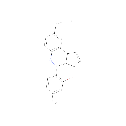 COc1ccc(C2Nc3ccc(CC=O)cc3C3C=CCC32)c(Br)c1